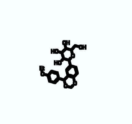 CCOc1ccc(C2OCOc3ccc(C4OC(CO)C(O)C(O)C4O)cc32)cc1